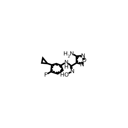 Nc1nonc1/C(=N/O)Nc1ccc(F)c(C2CC2)c1